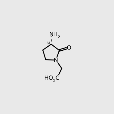 N[C@H]1CCN(CC(=O)O)C1=O